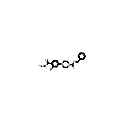 CC(C)(C)OC(=O)c1ccc(N2CCN(C(=O)OCc3ccccc3)CC2)cc1F